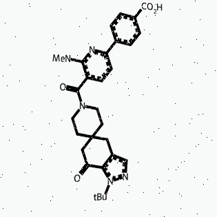 CNc1nc(-c2ccc(C(=O)O)cc2)ccc1C(=O)N1CCC2(CC1)CC(=O)c1c(cnn1C(C)(C)C)C2